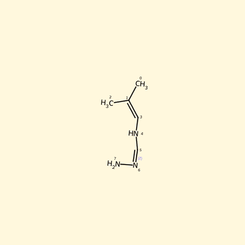 CC(C)=CN/C=N\N